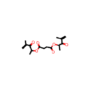 C=C(C)C(=O)C(C)OC(=O)CCC(=O)OC(C)C(=O)C(=C)C